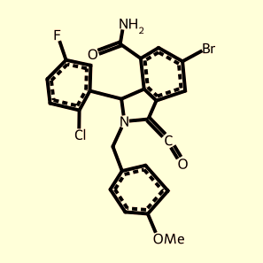 COc1ccc(CN2C(=C=O)c3cc(Br)cc(C(N)=O)c3C2c2cc(F)ccc2Cl)cc1